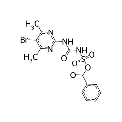 Cc1nc(NC(=O)NS(=O)(=O)OC(=O)c2ccccc2)nc(C)c1Br